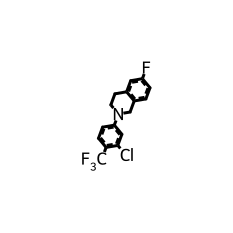 Fc1ccc2c(c1)CCN(c1ccc(C(F)(F)F)c(Cl)c1)C2